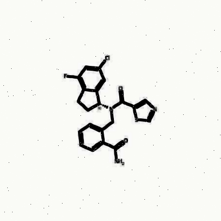 NC(=O)c1ccccc1CN(C(=O)c1cncs1)[C@@H]1CCc2c(F)cc(Cl)cc21